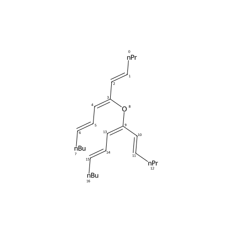 CCCC=CC(=CC=CCCCC)OC(C=CCCC)=CC=CCCCC